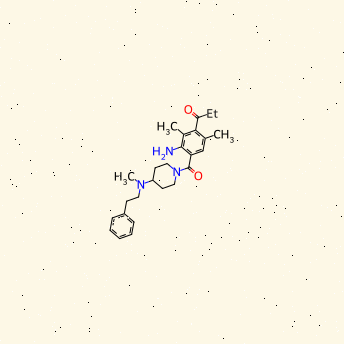 CCC(=O)c1c(C)cc(C(=O)N2CCC(N(C)CCc3ccccc3)CC2)c(N)c1C